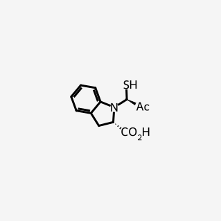 CC(=O)[C@H](S)N1c2ccccc2C[C@H]1C(=O)O